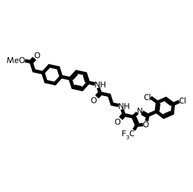 COC(=O)CC1CCC(c2ccc(NC(=O)CCNC(=O)c3nc(-c4ccc(Cl)cc4Cl)oc3C(F)(F)F)cc2)CC1